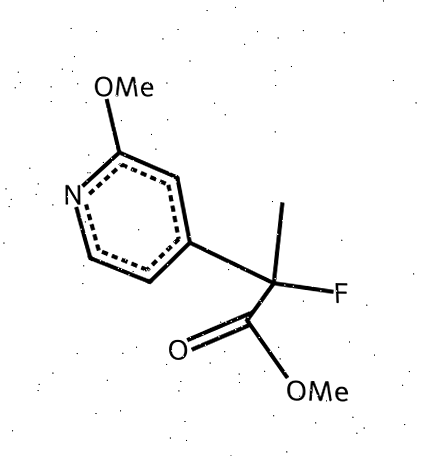 COC(=O)C(C)(F)c1ccnc(OC)c1